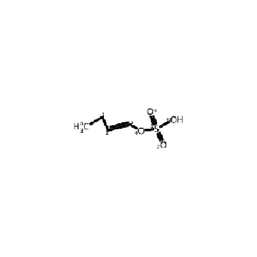 CCC=COS(=O)(=O)O